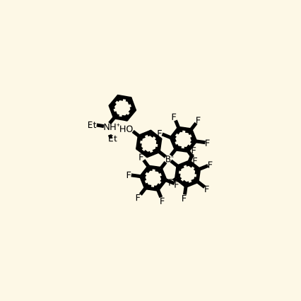 CC[NH+](CC)c1ccccc1.Oc1ccc([B-](c2c(F)c(F)c(F)c(F)c2F)(c2c(F)c(F)c(F)c(F)c2F)c2c(F)c(F)c(F)c(F)c2F)cc1